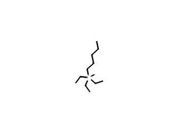 CCCCCP(Br)(CC)(CC)CC